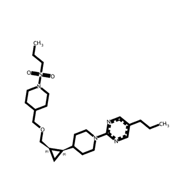 CCCc1cnc(N2CCC([C@H]3C[C@H]3COCC3CCN(S(=O)(=O)CCC)CC3)CC2)nc1